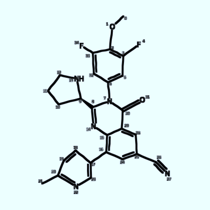 COc1c(F)cc(-n2c([C@H]3CCCN3)nc3c(-c4ccc(C)nc4)cc(C#N)cc3c2=O)cc1F